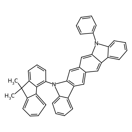 CC1(C)c2ccccc2-c2c(-n3c4ccccc4c4cc5cc6c7ccccc7n(-c7ccccc7)c6cc5cc43)cccc21